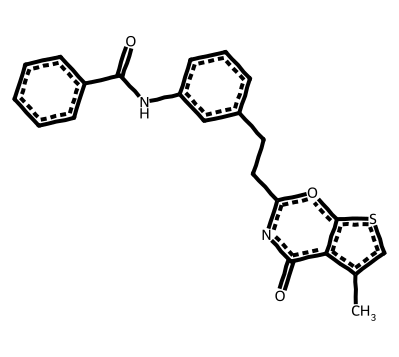 Cc1csc2oc(CCc3cccc(NC(=O)c4ccccc4)c3)nc(=O)c12